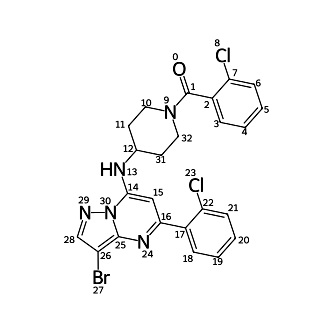 O=C(c1ccccc1Cl)N1CCC(Nc2cc(-c3ccccc3Cl)nc3c(Br)cnn23)CC1